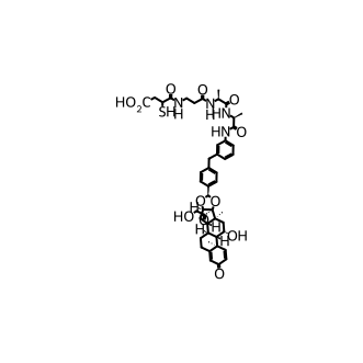 C[C@H](NC(=O)CCNC(=O)C(S)CC(=O)O)C(=O)N[C@@H](C)C(=O)Nc1cccc(Cc2ccc([C@@H]3O[C@@H]4C[C@H]5[C@@H]6CCC7=CC(=O)C=C[C@]7(C)[C@H]6[C@@H](O)C[C@]5(C)[C@]4(C(=O)CO)O3)cc2)c1